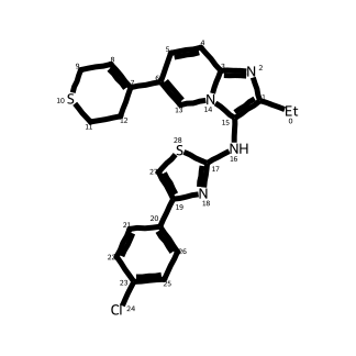 CCc1nc2ccc(C3=CCSCC3)cn2c1Nc1nc(-c2ccc(Cl)cc2)cs1